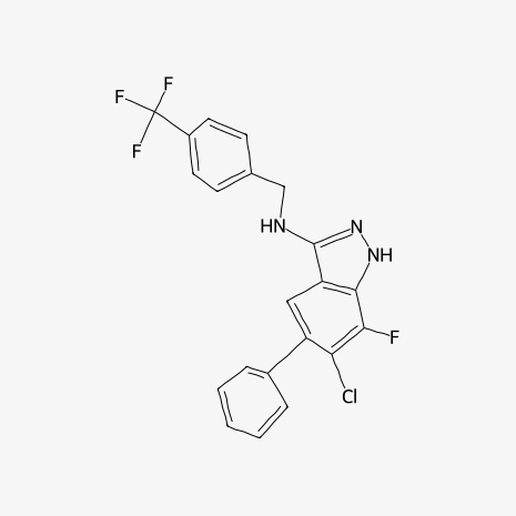 Fc1c(Cl)c(-c2ccccc2)cc2c(NCc3ccc(C(F)(F)F)cc3)n[nH]c12